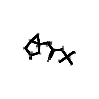 CC(C)(C)OC(=O)N[C@@]12CNCC1C2